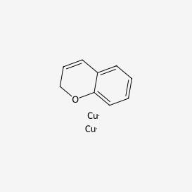 C1=Cc2ccccc2OC1.[Cu].[Cu]